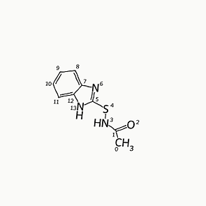 CC(=O)NSc1nc2ccccc2[nH]1